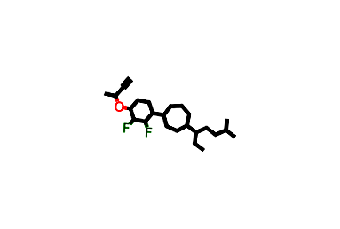 C#CC(C)OC1CCC(C2CCCC(C(CC)CCC(C)C)CC2)C(F)C1F